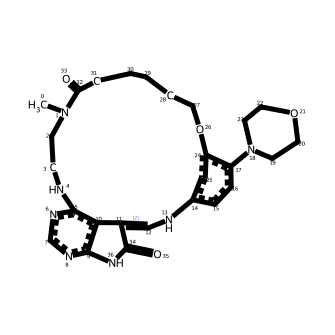 CN1CCNc2ncnc3c2/C(=C/Nc2ccc(N4CCOCC4)c(c2)OCCCCCC1=O)C(=O)N3